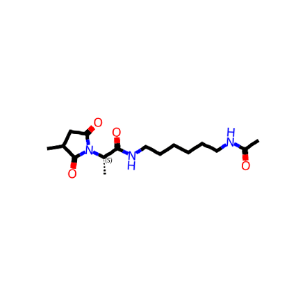 CC(=O)NCCCCCCNC(=O)[C@H](C)N1C(=O)CC(C)C1=O